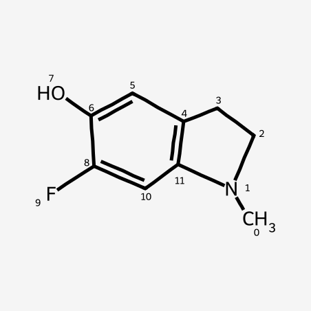 CN1CCc2cc(O)c(F)cc21